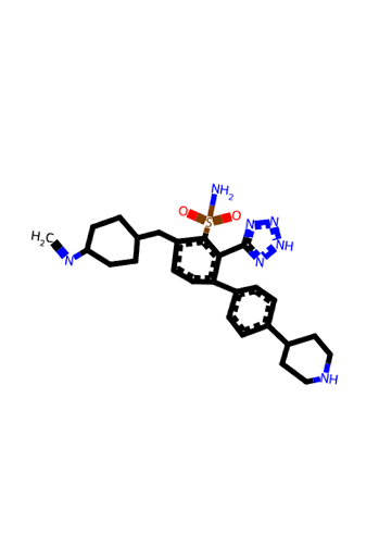 C=NC1CCC(Cc2ccc(-c3ccc(C4CCNCC4)cc3)c(-c3nn[nH]n3)c2S(N)(=O)=O)CC1